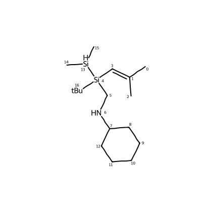 CC(C)=C[Si](CNC1CCCCC1)([SiH](C)C)C(C)(C)C